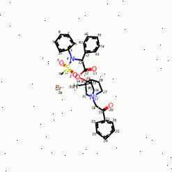 CS(=O)(=O)N(c1ccccc1)C(C(=O)O[C@H]1C[N+]2(CC(=O)c3ccccc3)CCC1CC2)c1ccccc1.[Br-]